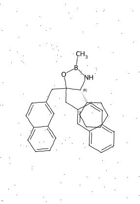 CB1N[C@H](C2CCCCC2)C(Cc2ccc3ccccc3c2)(Cc2ccc3ccccc3c2)O1